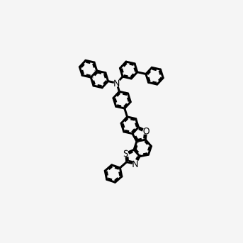 c1ccc(-c2cccc(N(c3ccc(-c4ccc5c(c4)oc4ccc6nc(-c7ccccc7)sc6c45)cc3)c3ccc4ccccc4c3)c2)cc1